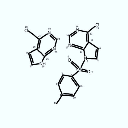 Cc1ccc(S(=O)(=O)n2ccc3c(Cl)ncnc32)cc1.Clc1ncnc2[nH]ccc12